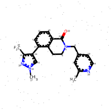 Cc1cc(CN2CCc3c(cccc3-c3cn(C)nc3C(F)(F)F)C2=O)ccn1